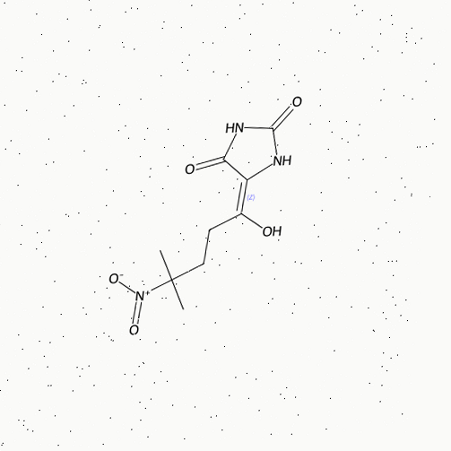 CC(C)(CC/C(O)=C1/NC(=O)NC1=O)[N+](=O)[O-]